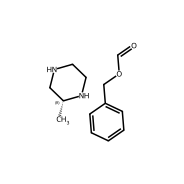 C[C@@H]1CNCCN1.O=COCc1ccccc1